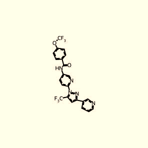 O=C(Nc1ccc(-n2nc(-c3cccnc3)cc2C(F)(F)F)nc1)c1ccc(OC(F)(F)F)cc1